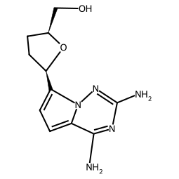 Nc1nc(N)c2ccc([C@H]3CC[C@@H](CO)O3)n2n1